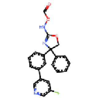 O=CONC1=NC(c2ccccc2)(c2cccc(-c3cncc(F)c3)c2)CO1